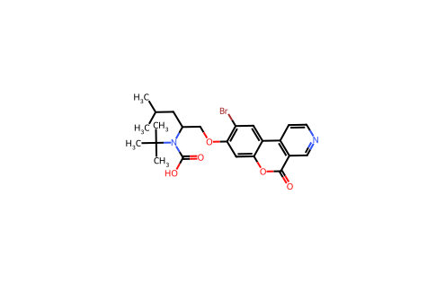 CC(C)CC(COc1cc2oc(=O)c3cnccc3c2cc1Br)N(C(=O)O)C(C)(C)C